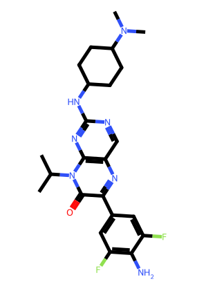 CC(C)n1c(=O)c(-c2cc(F)c(N)c(F)c2)nc2cnc(NC3CCC(N(C)C)CC3)nc21